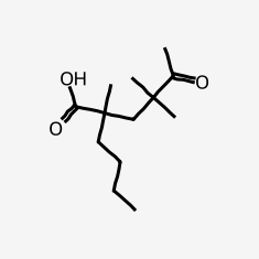 CCCCC(C)(CC(C)(C)C(C)=O)C(=O)O